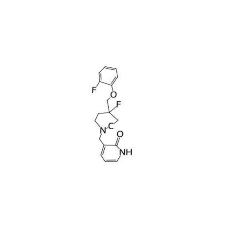 O=c1[nH]cccc1CN1CCC(F)(COc2ccccc2F)CC1